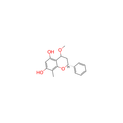 COC1C[C@H](c2ccccc2)Oc2c(C)c(O)cc(O)c21